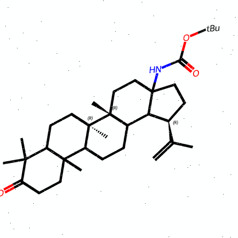 C=C(C)[C@@H]1CCC2(NC(=O)OC(C)(C)C)CC[C@]3(C)C(CCC4C5(C)CCC(=O)C(C)(C)C5CC[C@]43C)C12